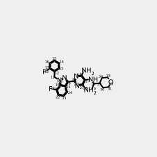 CC(Nc1c(N)nc(-c2nn(Cc3ccccc3F)c3c(F)cccc23)nc1N)C1CCOCC1